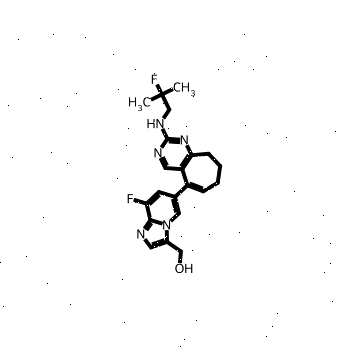 CC(C)(F)CNc1ncc2c(n1)CCCC=C2c1cc(F)c2ncc(CO)n2c1